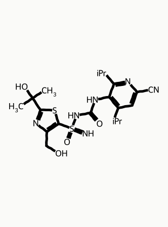 CC(C)c1cc(C#N)nc(C(C)C)c1NC(=O)NS(=N)(=O)c1sc(C(C)(C)O)nc1CO